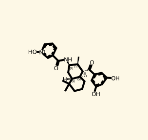 C[C@@H]1[C@H](NC(=O)c2ccc[n+](O)c2)C[C@H]2C(C)(C)CCC[C@]2(C)[C@H]1C(=O)c1cc(O)cc(O)c1